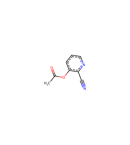 CC(=O)Oc1cccnc1C#N